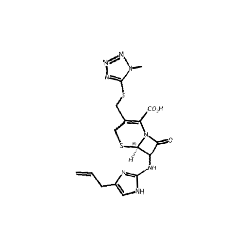 C=CCc1c[nH]c(NC2C(=O)N3C(C(=O)O)=C(CSc4nnnn4C)CS[C@H]23)n1